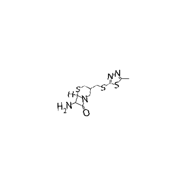 Cc1nnc(SCC2CS[C@H]3C(N)C(=O)N3C2)s1